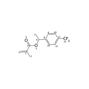 C=C(C)C(=O)OC(C)c1ccc(C(F)(F)F)cc1